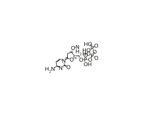 NO[C@H]1C[C@H](n2ccc(N)nc2=O)O[C@@H]1COP(=O)(O)OP(=O)(O)OP(=O)(O)O